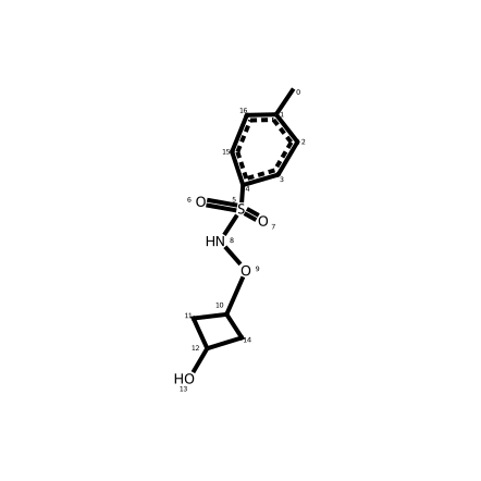 Cc1ccc(S(=O)(=O)NOC2CC(O)C2)cc1